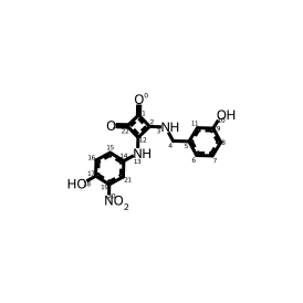 O=c1c(NCc2cccc(O)c2)c(Nc2ccc(O)c([N+](=O)[O-])c2)c1=O